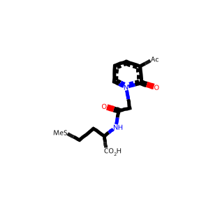 CSCCC(NC(=O)Cn1cccc(C(C)=O)c1=O)C(=O)O